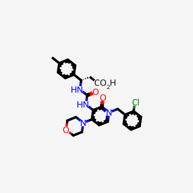 Cc1ccc([C@H](CC(=O)O)NC(=O)Nc2c(N3CCOCC3)ccn(Cc3ccccc3Cl)c2=O)cc1